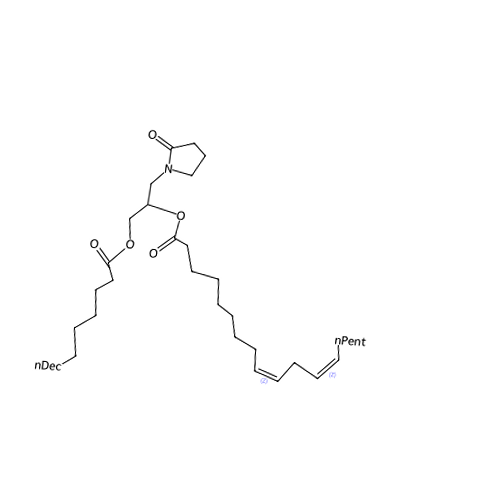 CCCCC/C=C\C/C=C\CCCCCCCC(=O)OC(COC(=O)CCCCCCCCCCCCCCC)CN1CCCC1=O